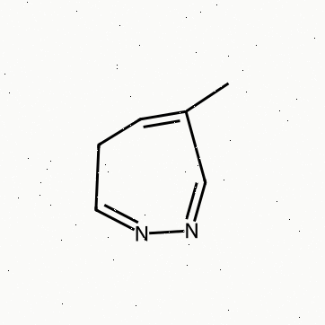 CC1=CCC=NN=C1